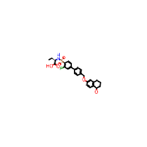 CC[C@@H](NS(=O)(=O)c1ccc(-c2ccc(COc3ccc4c(c3)CCCC4=O)cc2)cc1F)C(=O)O